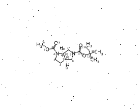 COC(=O)N1CC[C@@H]2CN(C(=O)OC(C)(C)C)C[C@@H]21